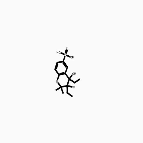 CCC1(O)c2cc(P(=O)(O)O)ccc2OC(C)(C)C1(Br)CC